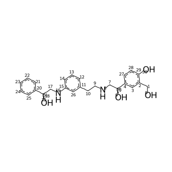 OCc1cc([C@@H](O)CNCCc2cccc(NC[C@@H](O)c3ccccc3)c2)ccc1O